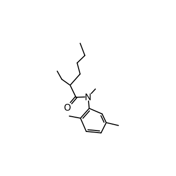 CCCCC(CC)C(=O)N(C)c1cc(C)ccc1C